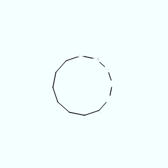 C1CCCNNNOOCCC1